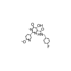 COc1ccc(-c2nc(C(=O)NCc3ccc(F)cc3)c(O)c(=O)n2C)cn1